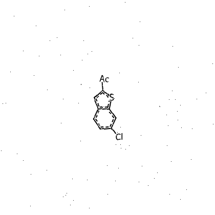 CC(=O)c1cc2ccc(Cl)cc2s1